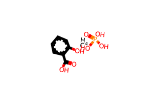 C.O=C(O)c1ccccc1O.O=P(O)(O)O